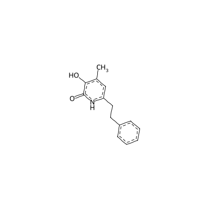 Cc1cc(CCc2ccccc2)[nH]c(=O)c1O